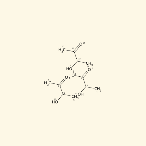 CC(=O)C(C)O.CC(=O)C(C)O.CC(=O)C(C)O